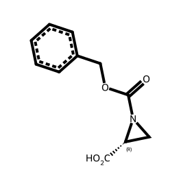 O=C(O)[C@H]1CN1C(=O)OCc1ccccc1